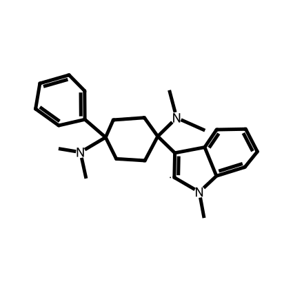 CN(C)C1(c2ccccc2)CCC(c2[c]n(C)c3ccccc23)(N(C)C)CC1